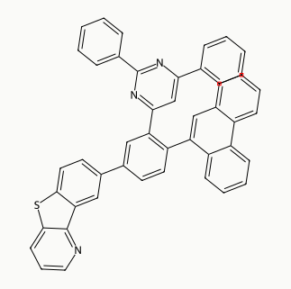 c1ccc(-c2cc(-c3cc(-c4ccc5sc6cccnc6c5c4)ccc3-c3cc4ccccc4c4ccccc34)nc(-c3ccccc3)n2)cc1